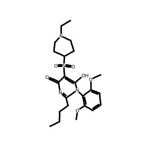 CCCCc1nc(=O)c(S(=O)(=O)C2CCN(CC)CC2)c(O)n1-c1c(OC)cccc1OC